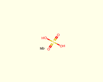 O=S(=O)(O)O.[Nb]